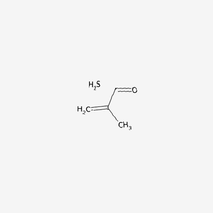 C=C(C)C=O.S